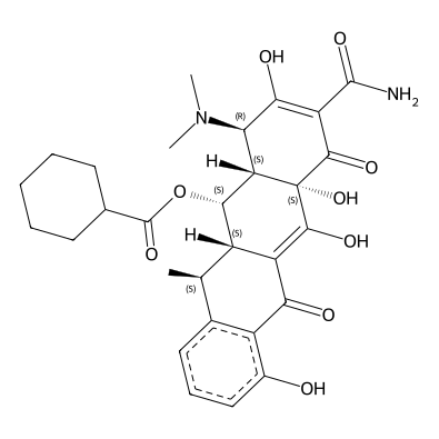 C[C@@H]1c2cccc(O)c2C(=O)C2=C(O)[C@]3(O)C(=O)C(C(N)=O)=C(O)[C@H](N(C)C)[C@H]3[C@@H](OC(=O)C3CCCCC3)[C@H]21